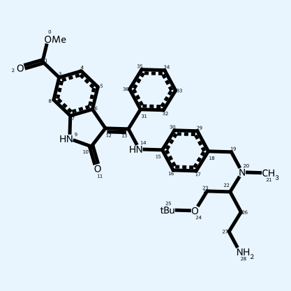 COC(=O)c1ccc2c(c1)NC(=O)/C2=C(\Nc1ccc(CN(C)C([C]OC(C)(C)C)CCN)cc1)c1ccccc1